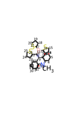 CN(C)c1ccccc1/C(=C(\B(c1cccs1)c1cccs1)c1cccs1)c1ccccc1